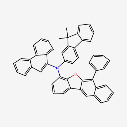 CC1(C)c2ccccc2-c2ccc(N(c3cc4ccccc4c4ccccc34)c3cccc4c3oc3c(-c5ccccc5)c5ccccc5cc34)cc21